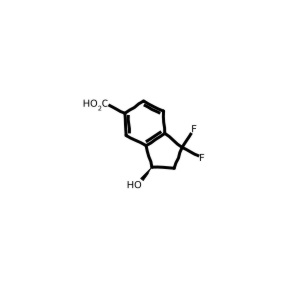 O=C(O)c1ccc2c(c1)[C@H](O)CC2(F)F